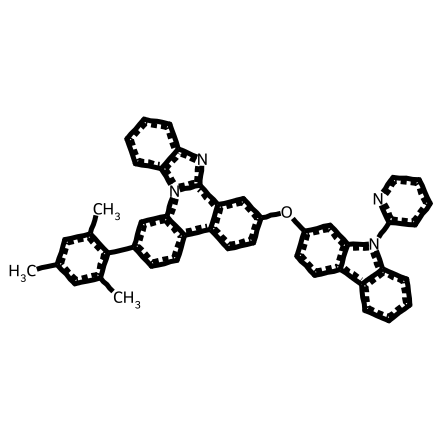 Cc1cc(C)c(-c2ccc3c4ccc(Oc5ccc6c7ccccc7n(-c7ccccn7)c6c5)cc4c4nc5ccccc5n4c3c2)c(C)c1